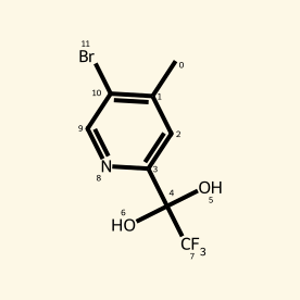 Cc1cc(C(O)(O)C(F)(F)F)ncc1Br